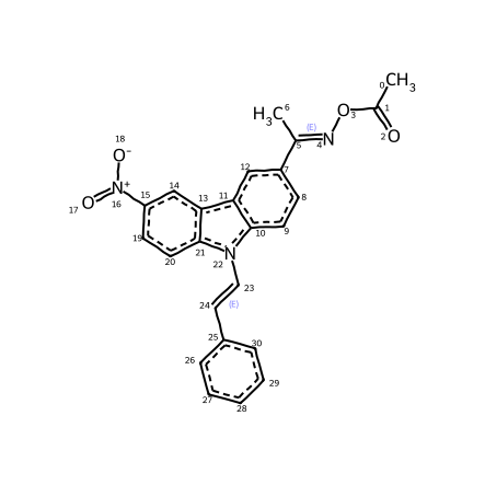 CC(=O)O/N=C(\C)c1ccc2c(c1)c1cc([N+](=O)[O-])ccc1n2/C=C/c1ccccc1